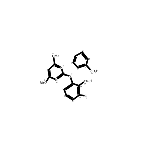 COc1cc(OC)nc(Sc2cccc(Cl)c2C(=O)O)n1.O=C(O)c1ccccc1